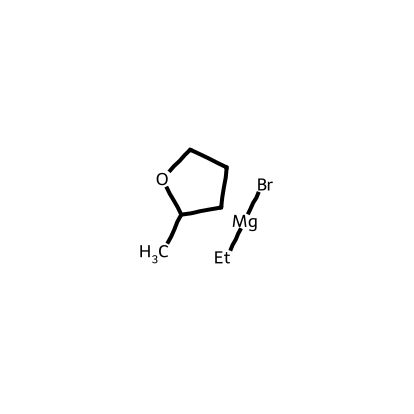 CC1CCCO1.C[CH2][Mg][Br]